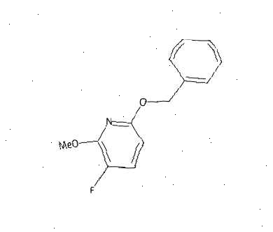 COc1nc(OCc2ccccc2)ccc1F